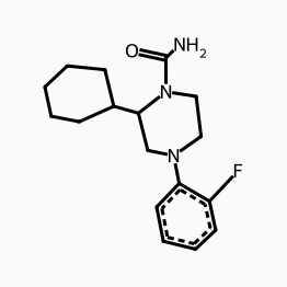 NC(=O)N1CCN(c2ccccc2F)CC1C1CCCCC1